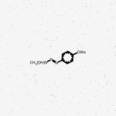 COc1ccc(N=NN(C)O)cc1